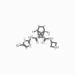 O=C(NC1CNC1)[C@H]1[C@H](C(=O)Nc2ncc(Br)s2)[C@@H]2CC[C@H]1C21CC1